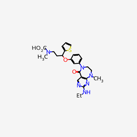 CCNc1ncc2c(n1)N(C)CCN(c1cccc(OC(CCN(C)C(=O)O)c3cccs3)c1)C2=O